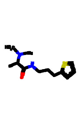 CC(C(=O)NCCCc1cccs1)N(C(=O)O)C(C)(C)C